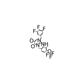 COc1cn(Cc2cc(F)c(F)c(F)c2)c(Nc2c(C)ccc(OC(F)(F)F)c2C)nc1=O